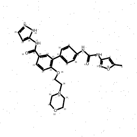 Cc1cc(NC(=O)Nc2ccc(-c3cc(C(=O)Nc4ccn[nH]4)ccc3OCCN3CCOCC3)cc2)no1